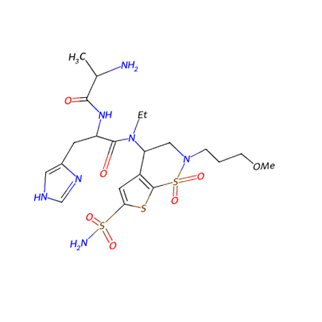 CCN(C(=O)C(Cc1c[nH]cn1)NC(=O)C(C)N)C1CN(CCCOC)S(=O)(=O)c2sc(S(N)(=O)=O)cc21